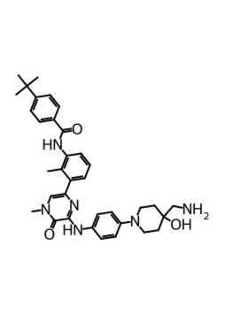 Cc1c(NC(=O)c2ccc(C(C)(C)C)cc2)cccc1-c1cn(C)c(=O)c(Nc2ccc(N3CCC(O)(CN)CC3)cc2)n1